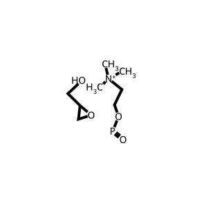 C[N+](C)(C)CCOP=O.OCC1CO1